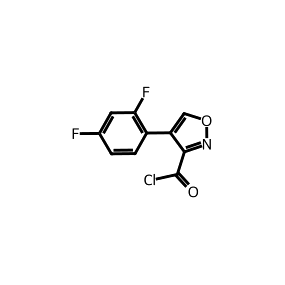 O=C(Cl)c1nocc1-c1ccc(F)cc1F